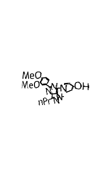 CCCc1nn(C)c2c(N3CCC(O)CC3)nc(-c3ccc(OC)c(OC)c3)nc12